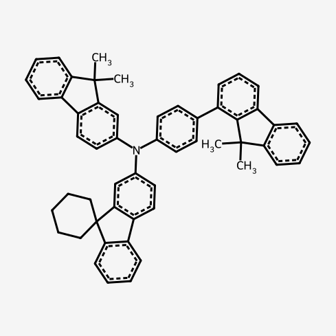 CC1(C)c2ccccc2-c2ccc(N(c3ccc(-c4cccc5c4C(C)(C)c4ccccc4-5)cc3)c3ccc4c(c3)C3(CCCCC3)c3ccccc3-4)cc21